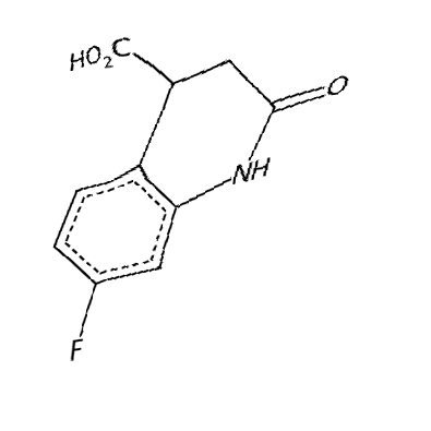 O=C1CC(C(=O)O)c2ccc(F)cc2N1